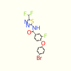 O=C(Nc1nnc(C(F)F)s1)c1ccc(Oc2ccc(Br)cc2)c(F)c1